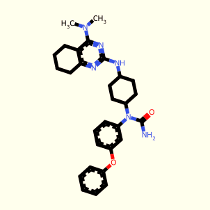 CN(C)c1nc(NC2CCC(N(C(N)=O)c3cccc(Oc4ccccc4)c3)CC2)nc2c1CCCC2